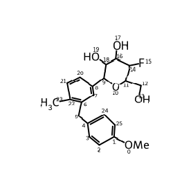 COc1ccc(Cc2cc(C3OC(CO)C(F)C(O)C3O)ccc2C)cc1